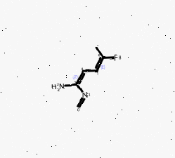 C=N/C(N)=C\C=C(/C)F